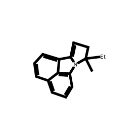 CCC1(C)CC=c2c3cccc4cccc(c43)n21